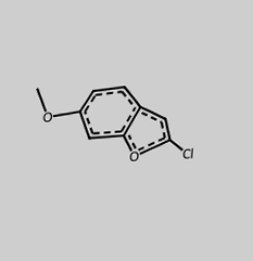 COc1ccc2cc(Cl)oc2c1